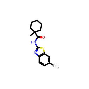 CC1(C(=O)Nc2nc3ccc(C(F)(F)F)cc3s2)CCCCC1